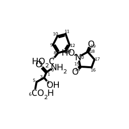 NC(=O)C(O)CC(=O)O.O=C(O)c1ccccc1.O=C1CCC(=O)N1O